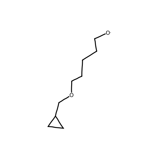 [O]CCCCCOCC1CC1